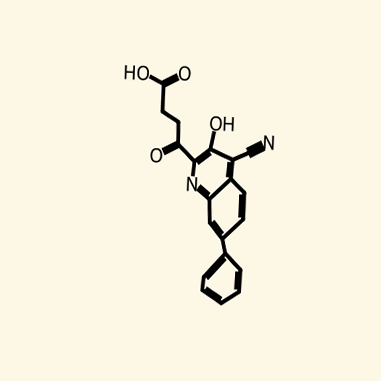 N#Cc1c(O)c(C(=O)CCC(=O)O)nc2cc(-c3ccccc3)ccc12